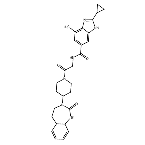 Cc1cc(C(=O)NCC(=O)N2CCC(N3CCC4C=CC=CC4NC3=O)CC2)cc2[nH]c(C3CC3)nc12